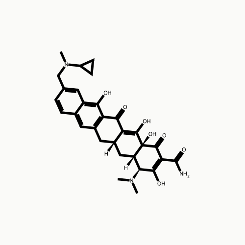 CN(Cc1ccc2cc3c(c(O)c2c1)C(=O)C1=C(O)[C@]2(O)C(=O)C(C(N)=O)=C(O)[C@@H](N(C)C)[C@@H]2C[C@@H]1C3)C1CC1